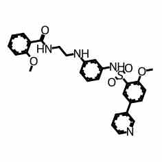 COc1ccccc1C(=O)NCCNc1cccc(NS(=O)(=O)c2cc(-c3cccnc3)ccc2OC)c1